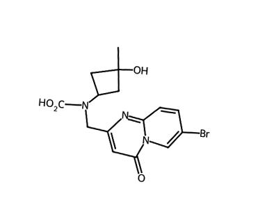 CC1(O)CC(N(Cc2cc(=O)n3cc(Br)ccc3n2)C(=O)O)C1